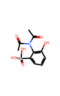 CC(=O)N(C(C)=O)c1c(O)cccc1[As](=O)(O)O